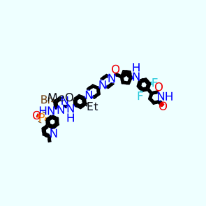 CCc1cc(Nc2ncc(Br)c(Nc3ccc4nc(C)ccc4c3P(C)(C)=O)n2)c(OC)cc1N1CCC(N2CCN(C(=O)C34CCC(Nc5cc(F)c(C6CCC(=O)NC6=O)c(F)c5)(CC3)C4)CC2)CC1